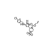 C=CCOC(=O)N1CCN(S(C)(=O)=O)CC1c1cc(NCc2ccc(Cl)s2)[nH]n1